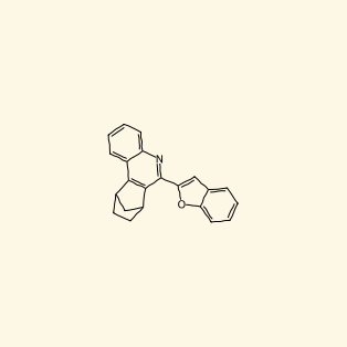 c1ccc2oc(-c3nc4ccccc4c4c3C3CCC4C3)cc2c1